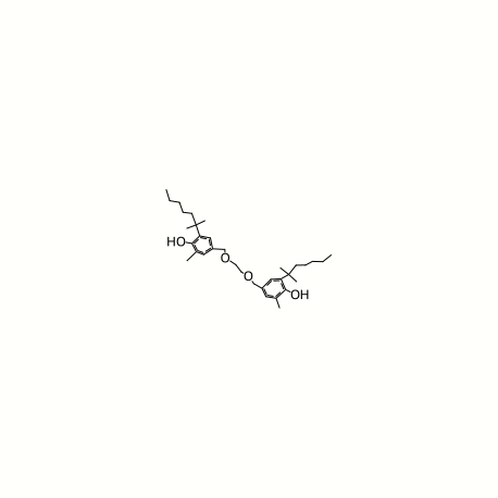 CCCCCC(C)(C)c1cc(COCCOCc2cc(C)c(O)c(C(C)(C)CCCCC)c2)cc(C)c1O